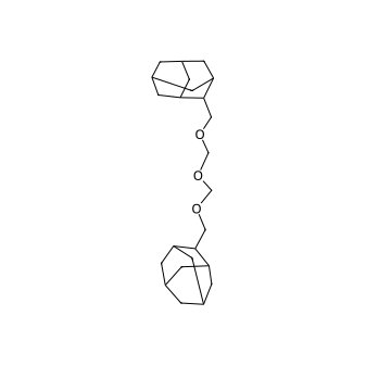 C(OCOCC1C2CC3CC(C2)CC1C3)OCC1C2CC3CC(C2)CC1C3